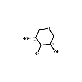 [O]C1[C@H](O)COC[C@H]1O